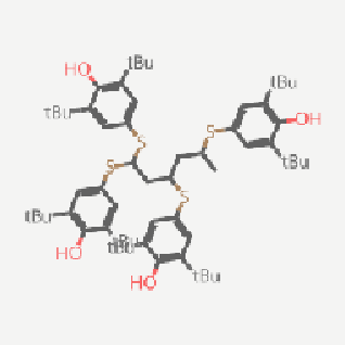 CC(CC(CC(Sc1cc(C(C)(C)C)c(O)c(C(C)(C)C)c1)Sc1cc(C(C)(C)C)c(O)c(C(C)(C)C)c1)Sc1cc(C(C)(C)C)c(O)c(C(C)(C)C)c1)Sc1cc(C(C)(C)C)c(O)c(C(C)(C)C)c1